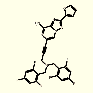 Nc1nc(C#CCN(Cc2c(F)cc(F)cc2F)Cc2c(F)cc(F)cc2F)cn2nc(-c3ccco3)nc12